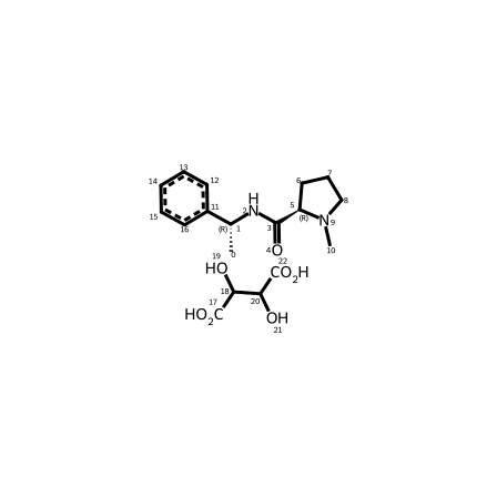 C[C@@H](NC(=O)[C@H]1CCCN1C)c1ccccc1.O=C(O)C(O)C(O)C(=O)O